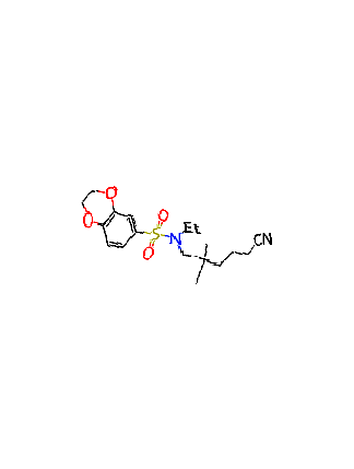 CCN(CC(C)(C)CCCC#N)S(=O)(=O)c1ccc2c(c1)OCCO2